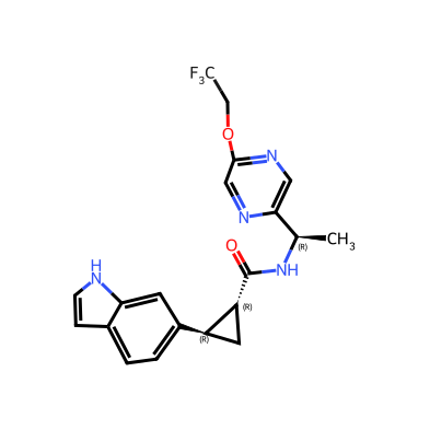 C[C@@H](NC(=O)[C@@H]1C[C@H]1c1ccc2cc[nH]c2c1)c1cnc(OCC(F)(F)F)cn1